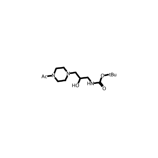 CC(=O)N1CCN(CC(O)CNC(=O)OC(C)(C)C)CC1